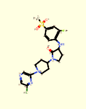 CS(=O)(=O)c1ccc(NC2CCN(C3CCN(c4cncc(Cl)n4)CC3)C2=O)c(F)c1